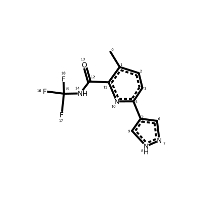 Cc1ccc(-c2cn[nH]c2)nc1C(=O)NC(F)(F)F